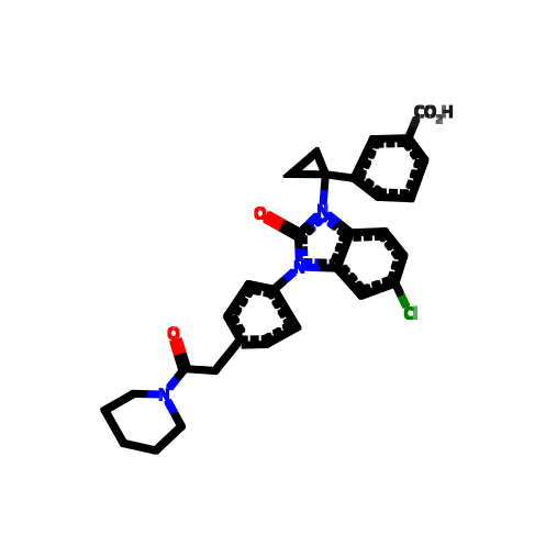 O=C(O)c1cccc(C2(n3c(=O)n(-c4ccc(CC(=O)N5CCCCC5)cc4)c4cc(Cl)ccc43)CC2)c1